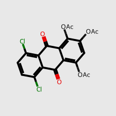 CC(=O)Oc1cc(OC(C)=O)c2c(c1OC(C)=O)C(=O)c1c(Cl)ccc(Cl)c1C2=O